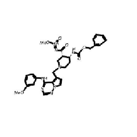 COc1cccc(Nc2ncnn3ccc(CN4CC[C@@H](NC(=O)OCc5ccccc5)[C@@H](C(=O)N=[SH](=O)OC)C4)c23)c1